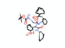 CC(C)(C)OC(=O)NCC(=O)N(c1ccccc1C(=O)c1ccccc1)C(C(=O)NC1CCCCC1)c1cccc(O)c1